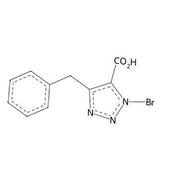 O=C(O)c1c(Cc2ccccc2)nnn1Br